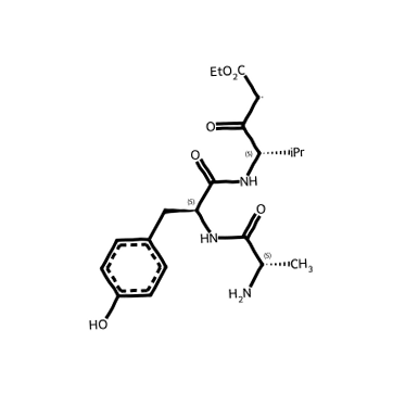 CCOC(=O)[CH]C(=O)[C@@H](NC(=O)[C@H](Cc1ccc(O)cc1)NC(=O)[C@H](C)N)C(C)C